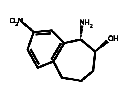 N[C@H]1c2cc([N+](=O)[O-])ccc2CCC[C@@H]1O